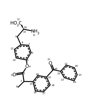 CC(C(=O)Oc1ccc(C[C@H](N)C(=O)O)cc1)c1cccc(C(=O)c2ccccc2)c1